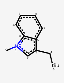 Cn1cc(CC(C)(C)C)c2ccccc21